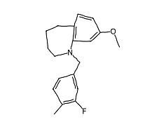 COc1ccc2c(c1)N(Cc1ccc(C)c(F)c1)CCCC2